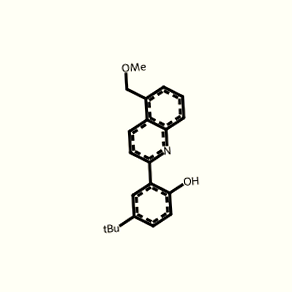 COCc1cccc2nc(-c3cc(C(C)(C)C)ccc3O)ccc12